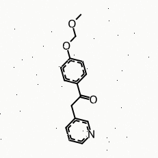 COCOc1ccc(C(=O)Cc2cccnc2)cc1